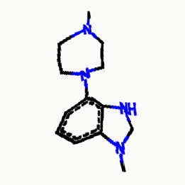 CN1CCN(c2cccc3c2NCN3C)CC1